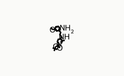 COc1ccc(N)c(CCNC2CCN(C(=O)OC(C)(C)C)CC2C)c1